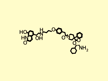 NC[C@H](OC(=O)C1(c2ccccc2)CCN(C(=O)Cc2ccc(OCCCCNC[C@H](O)c3ccc(O)c4[nH]c(=O)ccc34)cc2)CC1)C1CCCCC1